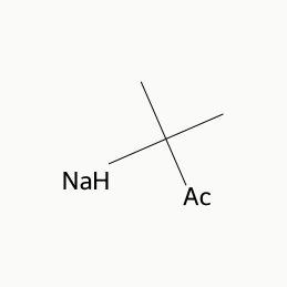 CC(=O)C(C)(C)C.[NaH]